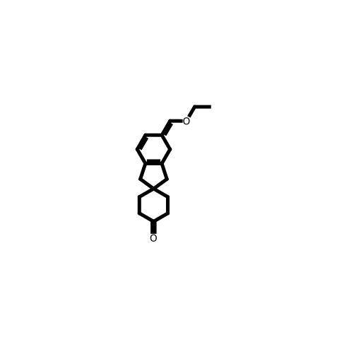 CCOC=C1C=CC2=C(C1)CC1(CCC(=O)CC1)C2